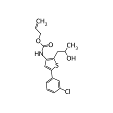 C=CCOC(=O)Nc1cc(-c2cccc(Cl)c2)sc1CC(C)O